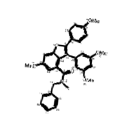 COc1ccc(-c2oc3cc(OC)cc(C(=O)N(C)Cc4ccccc4)c3c2-c2cc(OC)cc(OC)c2)cc1